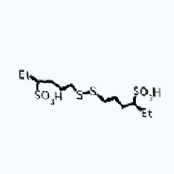 CCC(CCCSSCCCC(CC)S(=O)(=O)O)S(=O)(=O)O